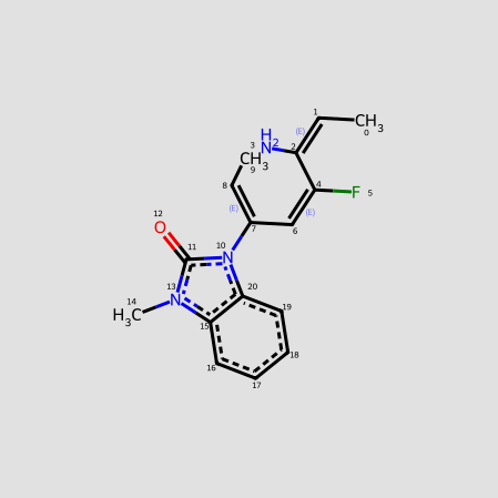 C\C=C(N)/C(F)=C\C(=C/C)n1c(=O)n(C)c2ccccc21